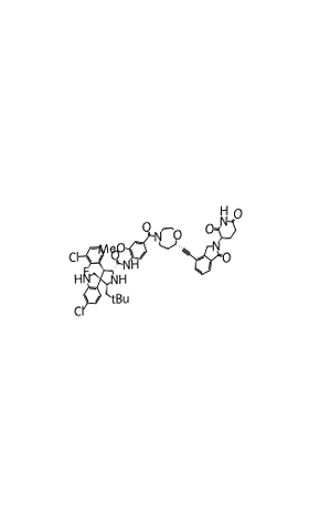 COc1cc(C(=O)N2CCO[C@H](C#Cc3cccc4c3CN(C3CCC(=O)NC3=O)C4=O)CC2)ccc1NC(=O)[C@@H]1N[C@@H](CC(C)(C)C)[C@@]2(CNc3cc(Cl)ccc32)[C@H]1c1cccc(Cl)c1F